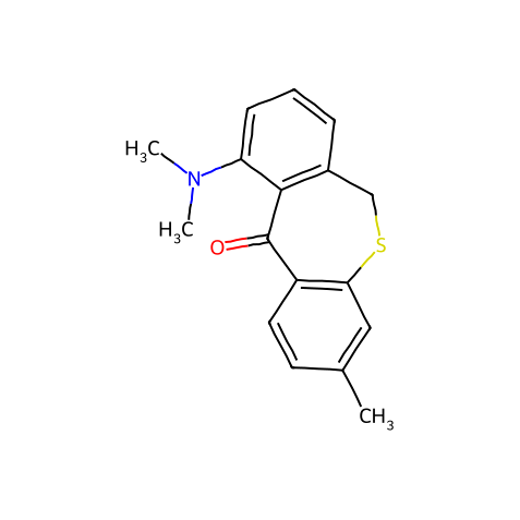 Cc1ccc2c(c1)SCc1cccc(N(C)C)c1C2=O